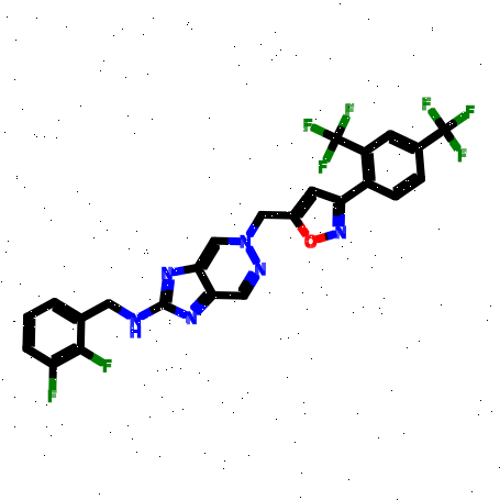 Fc1cccc(CNc2nc3cnn(Cc4cc(-c5ccc(C(F)(F)F)cc5C(F)(F)F)no4)cc-3n2)c1F